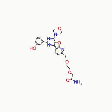 NC(=O)COCCOCCc1ccc2c(n1)oc1c(N3CCOCC3)nc(-c3cccc(O)c3)nc12